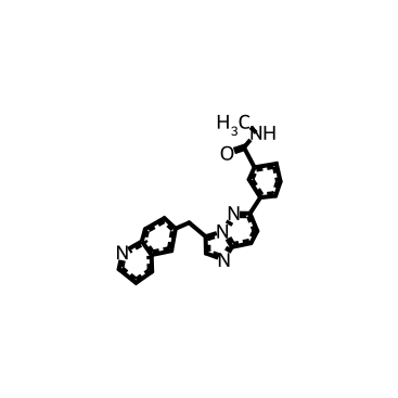 CNC(=O)c1cccc(-c2ccc3ncc(Cc4ccc5ncccc5c4)n3n2)c1